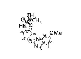 COc1ccc2cnc(O[C@H]3CC[C@H](NS(=O)(=O)N(C)C)CC3)nc2c1